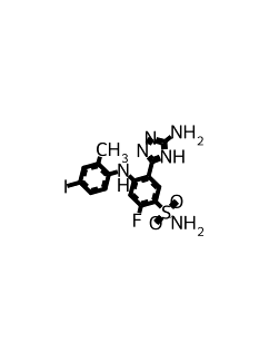 Cc1cc(I)ccc1Nc1cc(F)c(S(N)(=O)=O)cc1-c1nnc(N)[nH]1